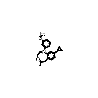 CCOc1cccc(N2CCOC(C)Cc3ccc(C4CC4)cc32)c1